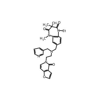 CCN1C(=O)C(C)(C)C(=O)N(C)c2cc(CN(CCn3ccc4occc4c3=O)Cc3cccnc3)ccc21